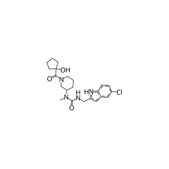 CN(C(=O)NCc1cc2cc(Cl)ccc2[nH]1)C1CCCN(C(=O)C2(O)CCCC2)C1